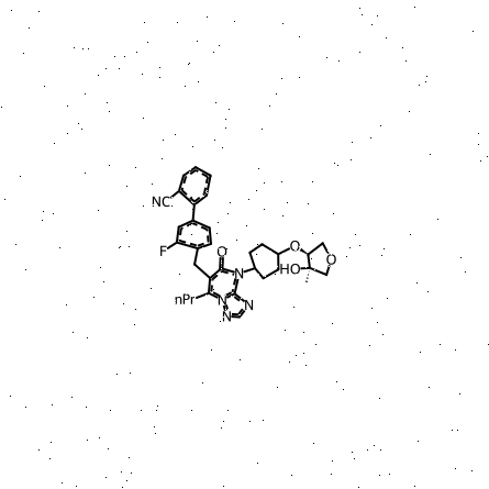 CCCc1c(Cc2ccc(-c3ccccc3C#N)cc2F)c(=O)n(C2CCC(O[C@H]3COC[C@@]3(C)O)CC2)c2ncnn12